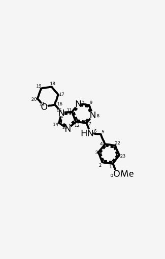 COc1ccc(CNc2ncnc3c2ncn3C2CCCCO2)cc1